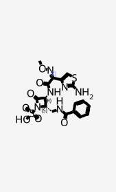 CO/N=C(\C(=O)N[C@H]1C(=O)N(S(=O)(=O)O)[C@H]1CNC(=O)c1ccccc1)c1csc(N)n1